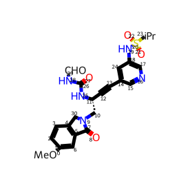 COc1ccc2c(c1)C(=O)N(C[C@@H](C#Cc1cncc(NS(=O)(=O)C(C)C)c1)NC(=O)NC=O)C2